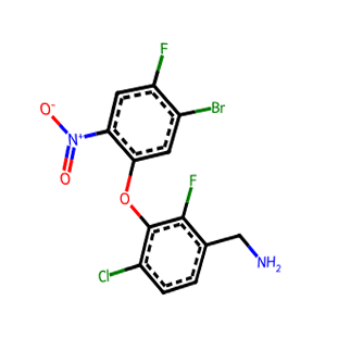 NCc1ccc(Cl)c(Oc2cc(Br)c(F)cc2[N+](=O)[O-])c1F